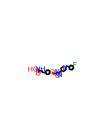 O=C(C=Cc1ccc(OCc2nc(C3CCN(Cc4cccc(F)c4)CC3)no2)cc1)NO